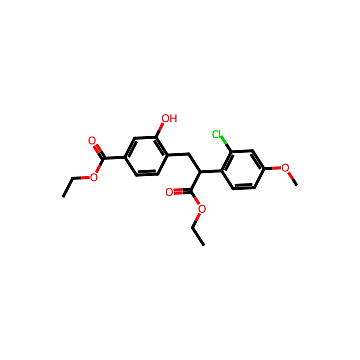 CCOC(=O)c1ccc(CC(C(=O)OCC)c2ccc(OC)cc2Cl)c(O)c1